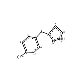 Clc1ccc([CH]c2cc[nH]n2)cc1